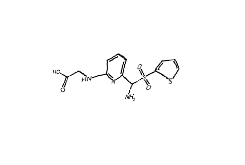 NC(c1cccc(NCC(=O)O)n1)S(=O)(=O)c1cccs1